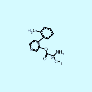 Cc1ccccc1-c1ccncc1OC(=O)[C@H](C)N